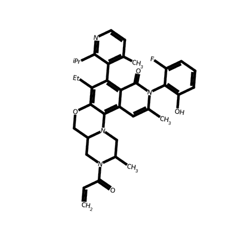 C=CC(=O)N1CC2COc3c(CC)c(-c4c(C)ccnc4C(C)C)c4c(=O)n(-c5c(O)cccc5F)c(C)cc4c3N2CC1C